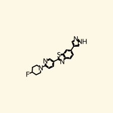 FC1CCN(c2ccc(-c3nc4ccc(-c5cn[nH]c5)cc4s3)cn2)CC1